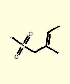 [CH2]S(=O)(=O)CC(C)=CC